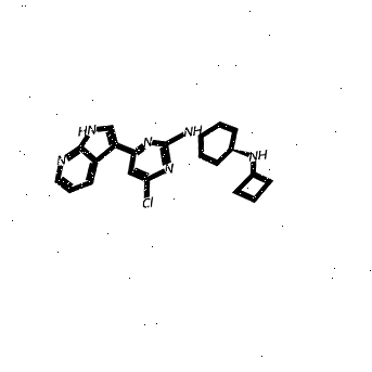 Clc1cc(-c2c[nH]c3ncccc23)nc(N[C@H]2CC[C@H](NC3CCC3)CC2)n1